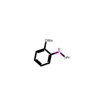 CC[C]Pc1ccccc1OC